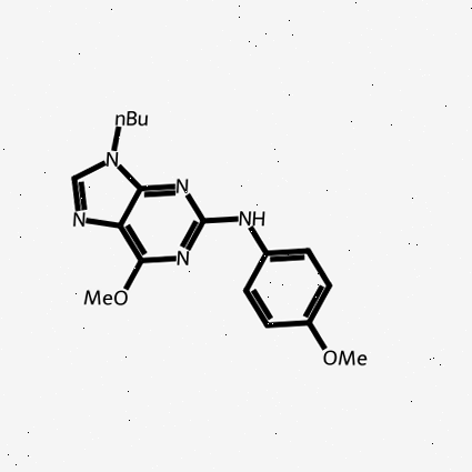 CCCCn1cnc2c(OC)nc(Nc3ccc(OC)cc3)nc21